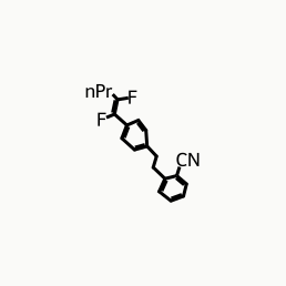 CCCC(F)=C(F)c1ccc(CCc2ccccc2C#N)cc1